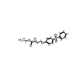 CCOC(=O)NCCOc1ccc(S(=O)(=O)c2ccccc2)cc1